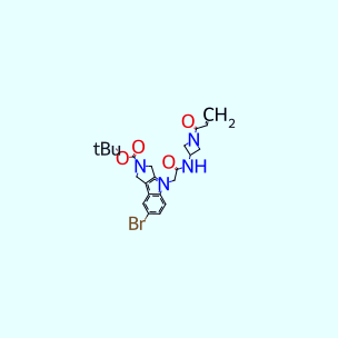 C=CC(=O)N1CC(NC(=O)Cn2c3c(c4cc(Br)ccc42)CN(C(=O)OC(C)(C)C)C3)C1